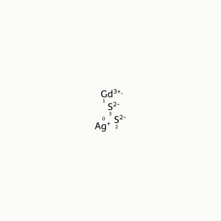 [Ag+].[Gd+3].[S-2].[S-2]